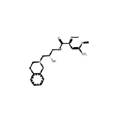 C=N/C(N)=C\C(=N/C)C(=O)NC[C@H](O)CN1CCc2ccccc2C1